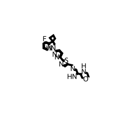 N=C(/C=N/Cc1cnc(-c2ccc(NCC3(c4ncccc4F)CCC3)nn2)s1)C1COCCN1